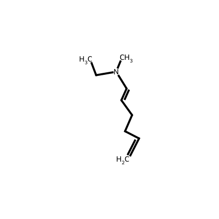 C=CCC/C=C/N(C)CC